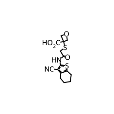 N#Cc1c(NC(=O)CSC2(C(=O)O)COC2)sc2c1CCCC2